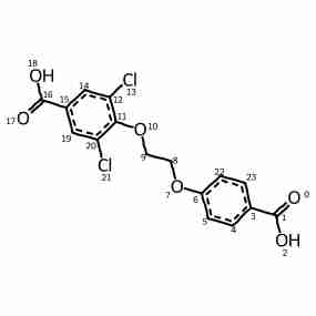 O=C(O)c1ccc(OCCOc2c(Cl)cc(C(=O)O)cc2Cl)cc1